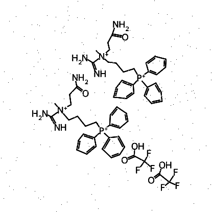 C[N+](CCCC[P+](c1ccccc1)(c1ccccc1)c1ccccc1)(CCC(N)=O)C(=N)N.C[N+](CCCC[P+](c1ccccc1)(c1ccccc1)c1ccccc1)(CCC(N)=O)C(=N)N.O=C(O)C(F)(F)F.O=C(O)C(F)(F)F